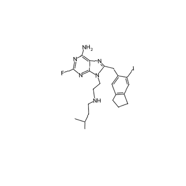 CC(C)CCNCCn1c(Cc2cc3c(cc2I)CCC3)nc2c(N)nc(F)nc21